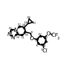 FC(F)(F)Oc1cc(Cl)cc(OCc2cc3nncn3cc2C2CC2)c1